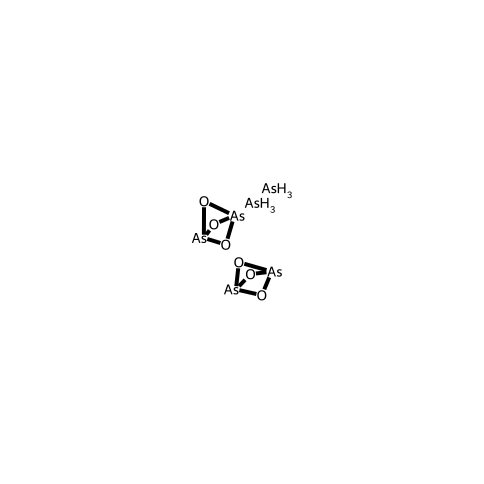 O1[As]2O[As]1O2.O1[As]2O[As]1O2.[AsH3].[AsH3]